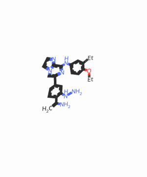 C=C(N)c1ccc(-c2cn3ccnc3c(Nc3ccc(OCC)c(CC)c3)n2)cc1NN